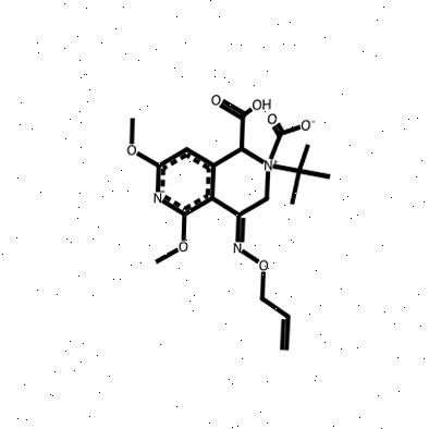 C=CCON=C1C[N+](C(=O)[O-])(C(C)(C)C)C(C(=O)O)c2cc(OC)nc(OC)c21